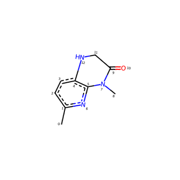 Cc1ccc2c(n1)N(C)C(=O)CN2